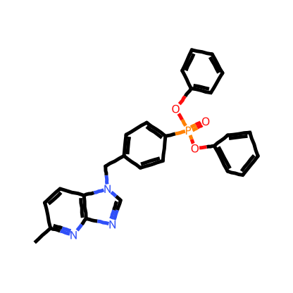 Cc1ccc2c(ncn2Cc2ccc(P(=O)(Oc3ccccc3)Oc3ccccc3)cc2)n1